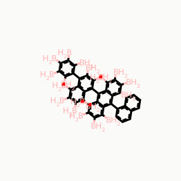 Bc1c(B)c(B)c(-c2c(B)c(B)c(-c3c4c(B)c(B)c(B)c(B)c4c(-c4cccc5ccccc45)c4c(B)c(B)c(B)c(B)c34)c3c(B)c(B)c(B)c(B)c23)c(B)c1B